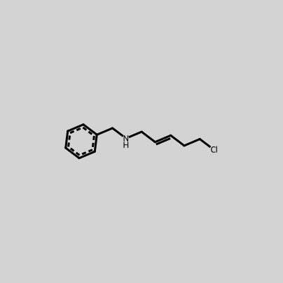 ClCCC=CCNCc1ccccc1